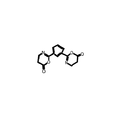 O=C1CCN=C(c2cccc(C3=NCCC(=O)O3)c2)O1